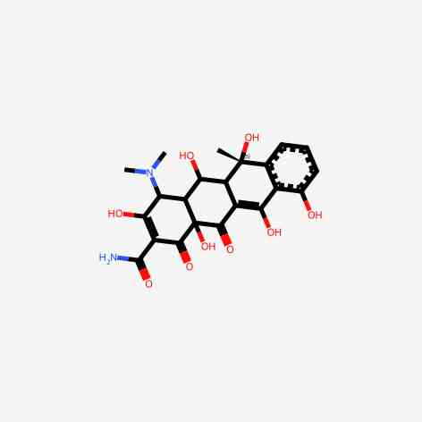 CN(C)C1C(O)=C(C(N)=O)C(=O)C2(O)C(=O)C3=C(O)c4c(O)cccc4[C@@](C)(O)C3C(O)C12